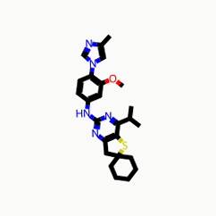 COc1cc(Nc2nc3c(c(C(C)C)n2)SC2(CCCCC2)C3)ccc1-n1cnc(C)c1